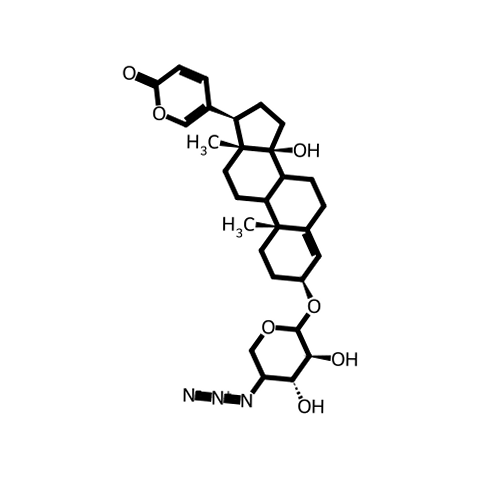 C[C@]12CC[C@H](OC3OCC(N=[N+]=[N-])[C@@H](O)[C@@H]3O)C=C1CCC1C2CC[C@]2(C)[C@@H](c3ccc(=O)oc3)CC[C@]12O